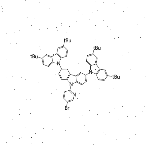 CC(C)(C)c1ccc2c(c1)c1cc(C(C)(C)C)ccc1n2-c1ccc2c(c1)c1cc(-n3c4ccc(C(C)(C)C)cc4c4cc(C(C)(C)C)ccc43)ccc1n2-c1ccc(Br)cn1